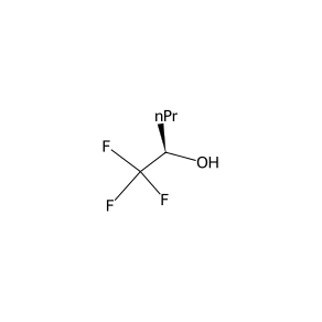 CCC[C@@H](O)C(F)(F)F